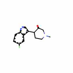 CCOC(=O)N1CCC(c2c[nH]c3ccc(F)cc23)C(=O)C1